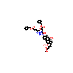 COC(=O)CC[C@@H](C)[C@H]1CC[C@H]2[C@@H]3[C@H](O)C[C@@H]4C[C@@H](NC(=O)[C@H](CCC(=O)OCc5ccccc5)NC(=O)[C@@H](N)CCC(=O)OCc5ccccc5)CC[C@]4(C)[C@H]3C[C@H](O)[C@]12C